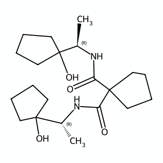 C[C@@H](NC(=O)C1(C(=O)N[C@H](C)C2(O)CCCC2)CCCC1)C1(O)CCCC1